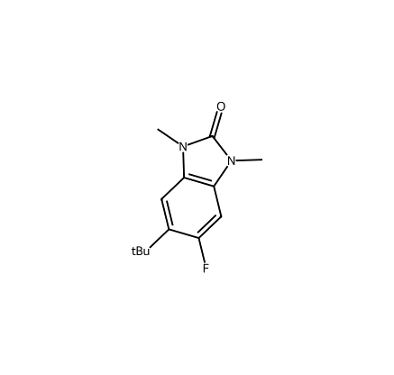 Cn1c(=O)n(C)c2cc(C(C)(C)C)c(F)cc21